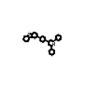 c1ccc(-c2cc(-c3ccc(-c4ccc5sc6ccccc6c5c4)cc3)cc(-c3ccccc3)n2)cc1